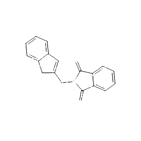 O=C1c2ccccc2C(=O)N1CC1=Cc2ccccc2C1